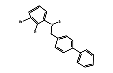 Brc1cccc(N(Br)Cc2ccc(-c3ccccc3)cc2)c1Br